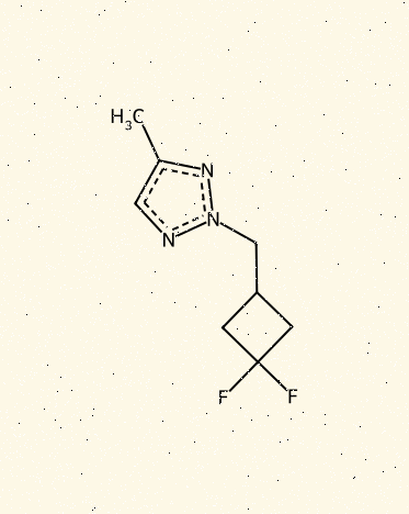 Cc1cnn(CC2CC(F)(F)C2)n1